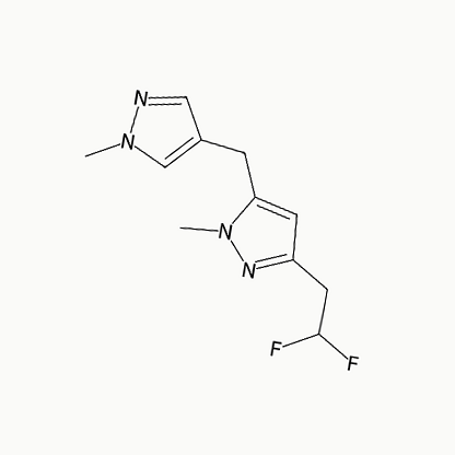 Cn1cc(Cc2cc(CC(F)F)nn2C)cn1